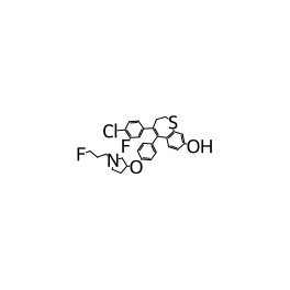 Oc1ccc2c(c1)SCCC(c1ccc(Cl)c(F)c1)=C2c1ccc(O[C@H]2CCN(CCCF)C2)cc1